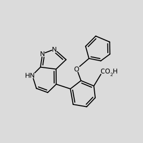 O=C(O)c1cccc(-c2cc[nH]c3nncc2-3)c1Oc1ccccc1